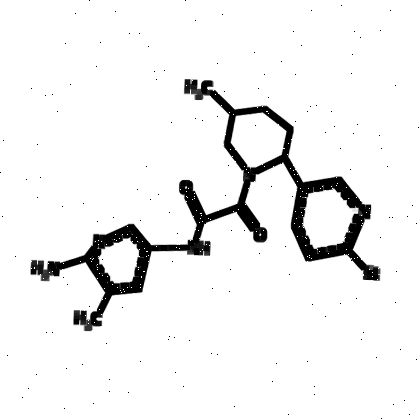 CCc1ccc(C2CCC(C)CN2C(=O)C(=O)Nc2cnc(N)c(C)c2)cn1